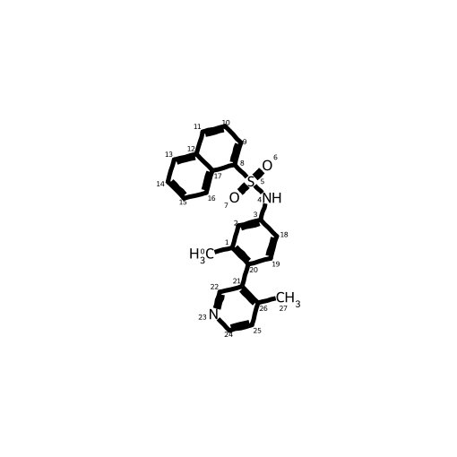 Cc1cc(NS(=O)(=O)c2cccc3ccccc23)ccc1-c1cnccc1C